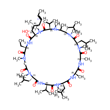 C/C=C/C[C@@H](C)[C@@H](O)[C@@H]1C(=O)N[C@H](CC)C(=O)N(C)CC(=O)N(C)[C@@H](CC(C)C)C(=O)N[C@H](C(C)C)C(=O)N(C)[C@H](CC(C)C)C(=O)N[C@H](C)C(=O)N[C@@H](C)C(=O)N(C)[C@H](CC(C)C)C(=O)N(C)[C@@H](CC(C)C)C(C)N(C)[C@H](C(C)C)C(=O)N1C